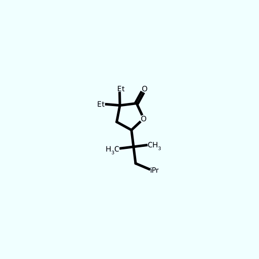 CCC1(CC)CC(C(C)(C)CC(C)C)OC1=O